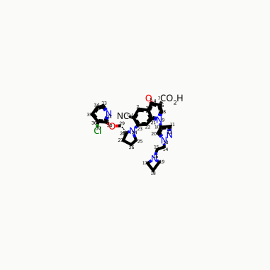 N#Cc1cc2c(=O)c(C(=O)O)cn(-c3cnn(CCN4CCC4)c3)c2cc1N1CCC[C@@H]1COc1ncccc1Cl